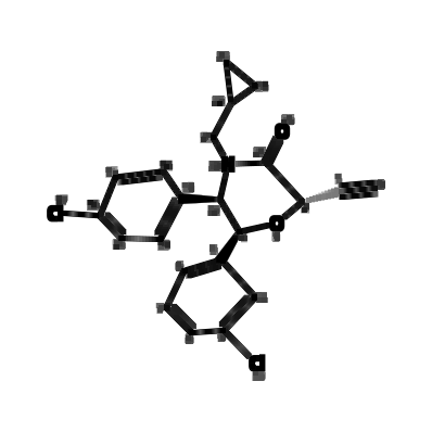 C#C[C@@H]1O[C@@H](c2cccc(Cl)c2)[C@@H](c2ccc(Cl)cc2)N(CC2CC2)C1=O